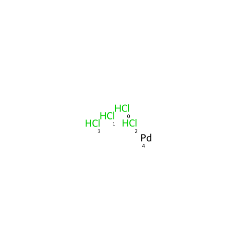 Cl.Cl.Cl.Cl.[Pd]